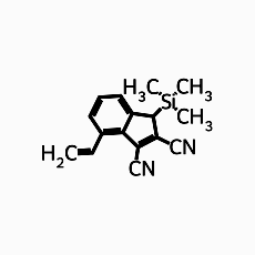 C=Cc1cccc2c1C(C#N)=C(C#N)C2[Si](C)(C)C